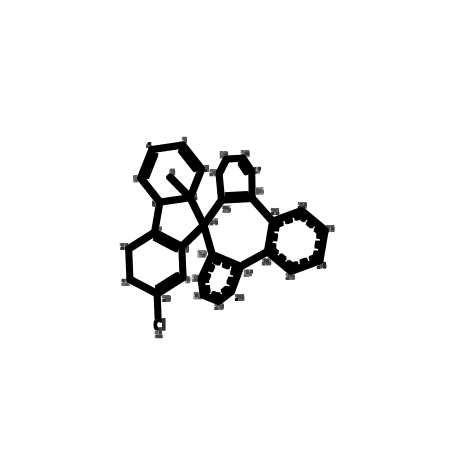 CC12C=CC=CC1C1=C(C=C(Cl)CC1)C21C2=C(C=CCC2)c2ccccc2-c2ccccc21